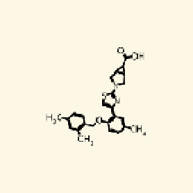 Cc1ccc(COc2ccc(C)cc2-c2csc(N3CC4C(C3)C4C(=O)O)n2)c(C)c1